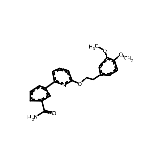 COc1ccc(CCOc2cccc(-c3cccc(C(N)=O)c3)n2)cc1OC